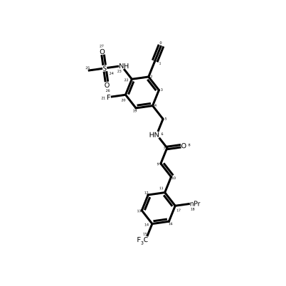 C#Cc1cc(CNC(=O)/C=C/c2ccc(C(F)(F)F)cc2CCC)cc(F)c1NS(C)(=O)=O